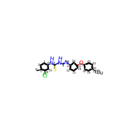 Cc1ccc(NC(=S)NC=Nc2cccc(Oc3ccc(C(C)(C)C)cc3)c2)cc1Cl